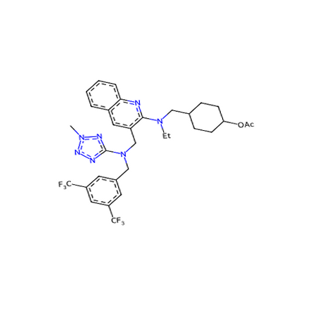 CCN(CC1CCC(OC(C)=O)CC1)c1nc2ccccc2cc1CN(Cc1cc(C(F)(F)F)cc(C(F)(F)F)c1)c1nnn(C)n1